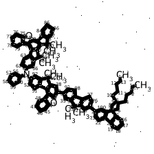 CCCCCCCC1(CCCCCCC)c2ccccc2-c2ccc(-c3ccc4c(c3)C(C)(C)c3cc(-c5cc6c(c7c5oc5ccccc57)-c5ccc(N(c7ccccc7)c7ccc8c(c7)C(C)(C)c7c9c(c%10oc%11ccccc%11c%10c7-8)-c7ccccc7C9(C)C)cc5C6(C)C)ccc3-4)cc21